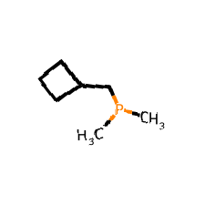 CP(C)CC1CCC1